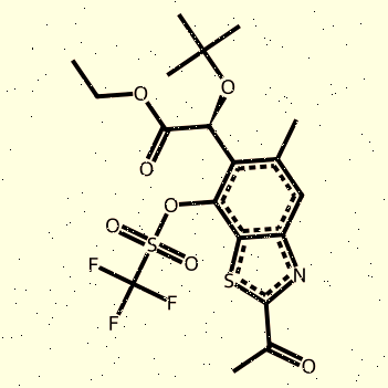 CCOC(=O)[C@@H](OC(C)(C)C)c1c(C)cc2nc(C(C)=O)sc2c1OS(=O)(=O)C(F)(F)F